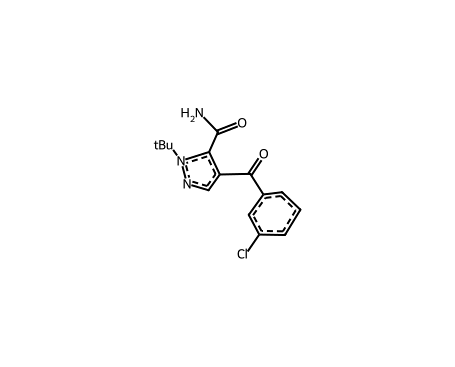 CC(C)(C)n1ncc(C(=O)c2cccc(Cl)c2)c1C(N)=O